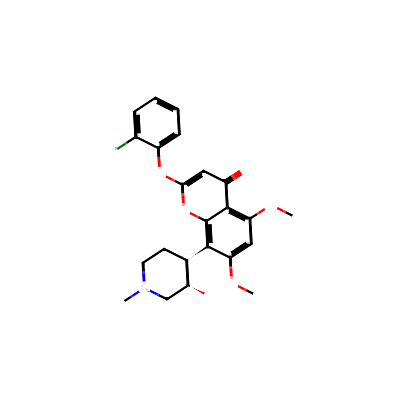 COc1cc(OC)c2c(=O)cc(Oc3ccccc3Cl)oc2c1[C@@H]1CCN(C)C[C@@H]1O